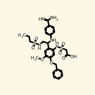 CCCS(=O)(=O)NCC(Nc1ccc(C(=N)N)cc1)c1cc(OC)c(OCc2ccccc2)cc1NS(=O)(=O)CC(=O)O